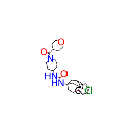 O=C(NC1CCN(C(=O)C2CCOCC2)CC1)NC12CC3CC(Cl)(CC(C1)c1ccccc13)C2